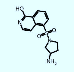 NC1CCN(S(=O)(=O)c2cccc3c(O)nccc23)C1